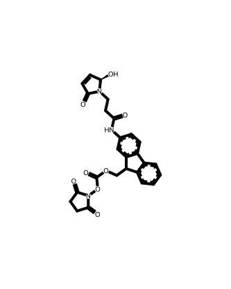 O=C(CCN1C(=O)C=C[C@H]1O)Nc1ccc2c(c1)C(COC(=O)ON1C(=O)CCC1=O)c1ccccc1-2